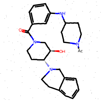 CC(=O)N1CCC(Nc2cccc(C(=O)N3CC[C@@H](N4CCc5ccccc5C4)[C@H](O)C3)c2)CC1